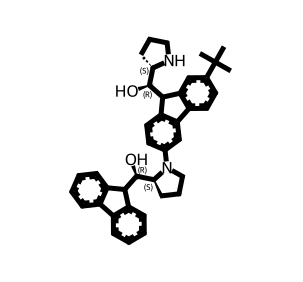 CC(C)(C)c1ccc2c(c1)C([C@@H](O)[C@@H]1CCCN1)c1ccc(N3CCC[C@H]3[C@H](O)C3c4ccccc4-c4ccccc43)cc1-2